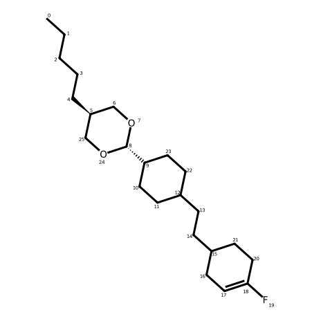 CCCCC[C@H]1CO[C@H](C2CCC(CCC3CC=C(F)CC3)CC2)OC1